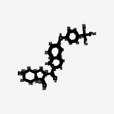 O=C(c1ccc2cc(Oc3ccc(C(F)(F)F)cn3)ccc2n1)N1CC2CNCCN2C1=O